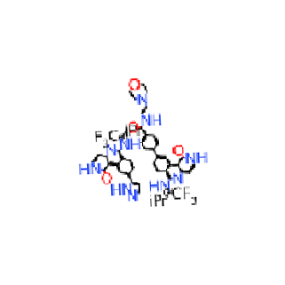 CC(C)[C@@H](Nc1nc2cc[nH]c(=O)c2c2cc(-c3ccc(C(=O)NCCN4CCOCC4)cc3)ccc12)C(F)(F)F.CC(C)[C@@H](Nc1nc2cc[nH]c(=O)c2c2cc(-c3ccn[nH]3)ccc12)C(F)(F)F